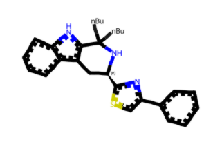 CCCCC1(CCCC)N[C@@H](c2nc(-c3ccccc3)cs2)Cc2c1[nH]c1ccccc21